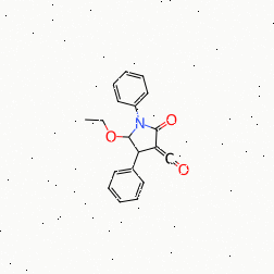 CCOC1C(c2ccccc2)C(=C=O)C(=O)N1c1ccccc1